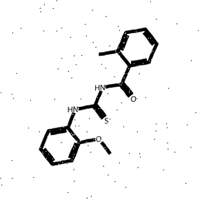 COc1ccccc1NC(=S)NC(=O)c1ccccc1C